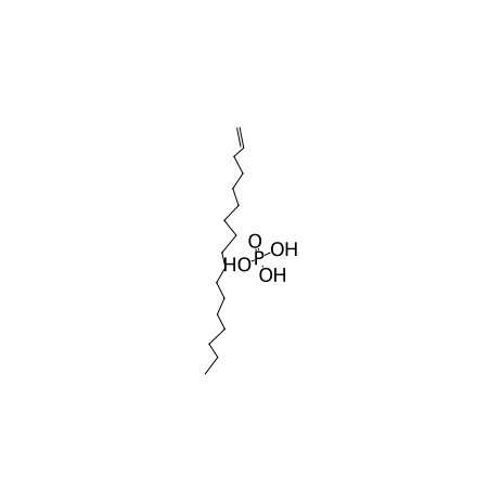 C=CCCCCCCCCCCCCCCC.O=P(O)(O)O